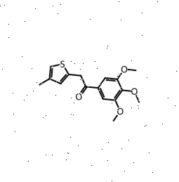 COc1cc(C(=O)Cc2cc(C)cs2)cc(OC)c1OC